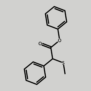 CSC(C(=O)Oc1ccccc1)c1ccccc1